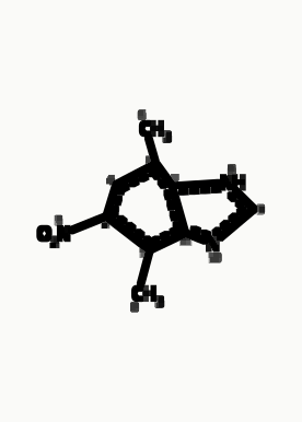 Cc1c([N+](=O)[O-])cc(C)c2[nH]cnc12